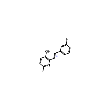 Cc1ccc(O)c(/C=C/c2cccc(F)c2)n1